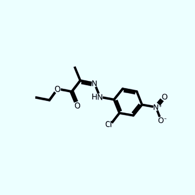 CCOC(=O)C(C)=NNc1ccc([N+](=O)[O-])cc1Cl